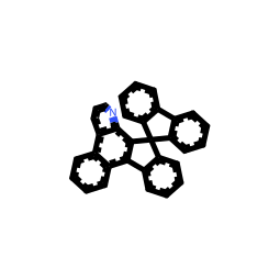 c1ccc2c(c1)-c1ccccc1C21c2ccccc2-c2c1c1ncccc1c1ccccc21